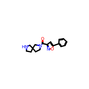 O=C(c1cc(-c2ccccc2)on1)N1CCC2(CCNC2)C1